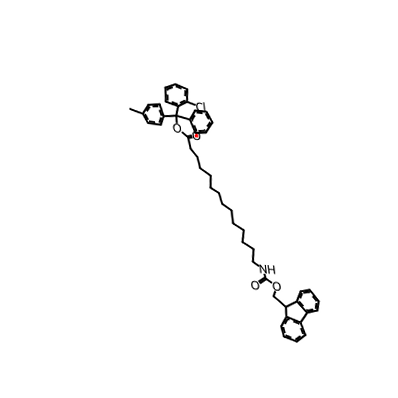 Cc1ccc(C(OC(=O)CCCCCCCCCCCCCNC(=O)OCC2c3ccccc3-c3ccccc32)(c2ccccc2)c2ccccc2Cl)cc1